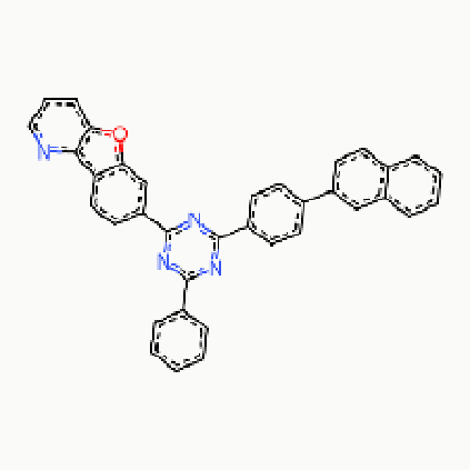 c1ccc(-c2nc(-c3ccc(-c4ccc5ccccc5c4)cc3)nc(-c3ccc4c(c3)oc3cccnc34)n2)cc1